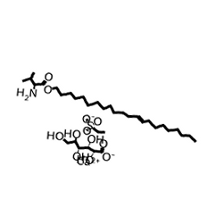 CCCCCCCC/C=C/CCCCCCCCCCCCOC(=O)[C@@H](N)C(C)C.CCS(=O)(=O)[O-].O=C([O-])[C@H](O)[C@@H](O)[C@H](O)[C@H](O)CO.[Ca+2]